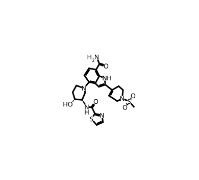 CS(=O)(=O)N1CC=C(c2cc3c(N4CC[C@@H](O)[C@H](NC(=O)c5nccs5)C4)ccc(C(N)=O)c3[nH]2)CC1